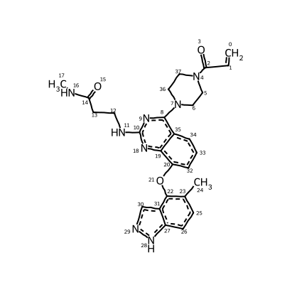 C=CC(=O)N1CCN(c2nc(NCCC(=O)NC)nc3c(Oc4c(C)ccc5[nH]ncc45)cccc23)CC1